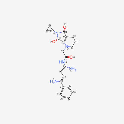 N/C(=C\C=C(/N)NC(=O)CN1CCCC2=C1C(=O)N(C1CC1)C2=O)c1ccccc1